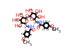 COc1ccc(C(=O)NC[C@H]2O[C@H](O[C@H]3O[C@H](CNC(=O)c4ccc(OC)cc4)[C@@H](O)[C@H](O)[C@H]3O)[C@H](O)[C@@H](O)[C@@H]2O)cc1